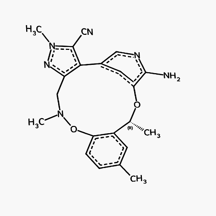 Cc1ccc2c(c1)[C@@H](C)Oc1cc(cnc1N)-c1c(nn(C)c1C#N)CN(C)O2